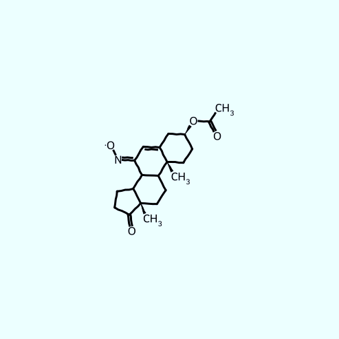 CC(=O)O[C@H]1CC[C@@]2(C)C(=C/C(=N\[O])C3C2CC[C@]2(C)C(=O)CCC32)C1